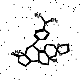 CN(C)c1ccc(C2CC3(C)C(=O)CCC3C3CC[C@@]4(O)CC5(CCC4=C23)OCCO5)cc1